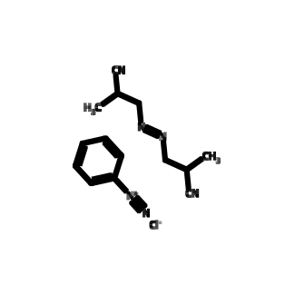 CC(C#N)CN=NCC(C)C#N.N#[N+]c1ccccc1.[Cl-]